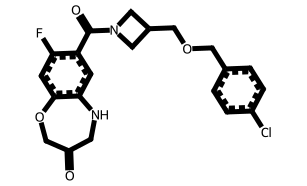 O=C1CNc2cc(C(=O)N3CC(COCc4ccc(Cl)cc4)C3)c(F)cc2OC1